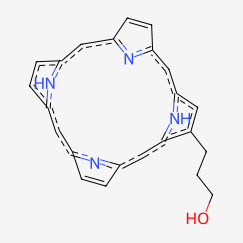 OCCCc1cc2cc3nc(cc4ccc(cc5nc(cc1[nH]2)C=C5)[nH]4)C=C3